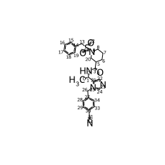 C[C@@H](NC(=O)C1CCCN(S(=O)(=O)Cc2ccccc2)C1)c1cncn1Cc1ccc(C#N)cc1